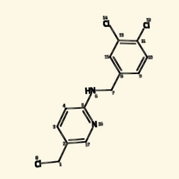 ClCc1ccc(NCc2ccc(Cl)c(Cl)c2)nc1